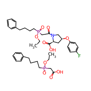 CCOP(=O)(CCCCc1ccccc1)CC(=O)N1C[C@@H](Oc2ccc(F)cc2)C[C@H]1C(=O)O.CCOP(=O)(CCCCc1ccccc1)CC(=O)O